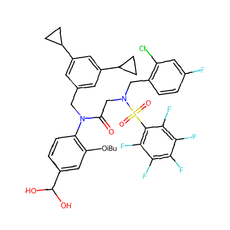 CC(C)COc1cc(C(O)O)ccc1N(Cc1cc(C2CC2)cc(C2CC2)c1)C(=O)CN(Cc1ccc(F)cc1Cl)S(=O)(=O)c1c(F)c(F)c(F)c(F)c1F